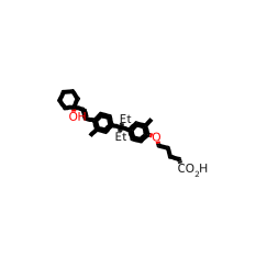 CCC(CC)(c1ccc(C=CC2(O)CCCCC2)c(C)c1)c1ccc(OCCCCC(=O)O)c(C)c1